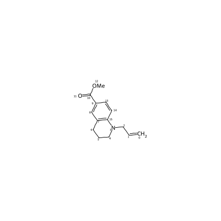 C=CCN1CCCc2cc(C(=O)OC)ccc21